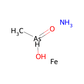 C[AsH](=O)O.N.[Fe]